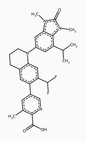 Cc1cc(-c2cc3c(cc2C(F)F)N(c2cc(C(C)C)c4c(c2)n(C)c(=O)n4C)CCC3)cnc1C(=O)O